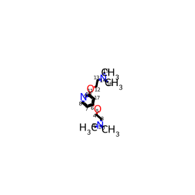 CN(C)CCOc1ccnc(OCCN(C)C)c1